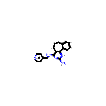 Nc1nc(NCC23CCN(CC2)CC3)c2c(n1)-c1ccccc1CCC2